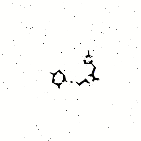 COc1ccc(N=N/C=c2/[nH]c(=O)/c(=C/c3cnc(NC(C)=O)s3)s2)c(C)c1